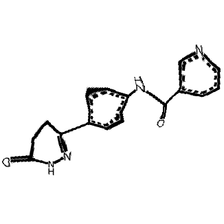 O=C1CCC(c2ccc(NC(=O)c3cccnc3)cc2)=NN1